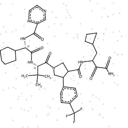 CC(C)(C)[C@H](NC(=O)[C@@H](NC(=O)c1cnccn1)C1CCCCC1)C(=O)N1CC(C(=O)NC(CC2CCC2)C(=O)C(N)=O)C(c2ccc(C(F)(F)F)cc2)C1